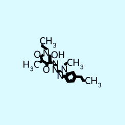 CCCc1ccc2nc(N=NC3=C(O)N(CCC)C(=O)C(C)C3=O)n(CC)c2c1